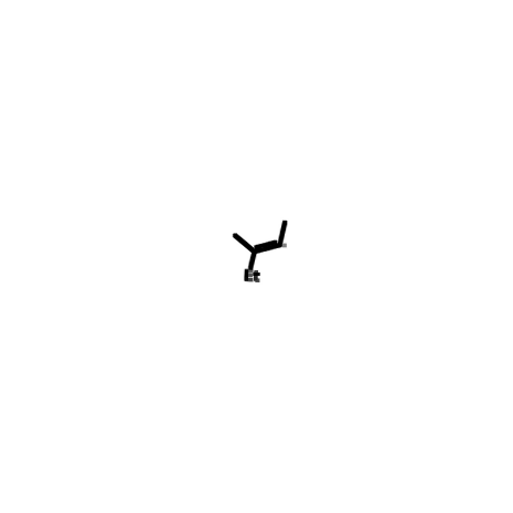 [CH2]C/C(C)=[C]/C